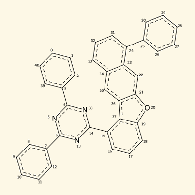 c1ccc(-c2nc(-c3ccccc3)nc(-c3cccc4oc5cc6c(-c7ccccc7)cccc6cc5c34)n2)cc1